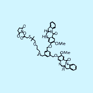 COc1cc2c(cc1OCc1cc(COc3cc4c(cc3OC)C(=O)N3c5ccccc5C[C@H]3CN4)cc(CN(C)CCCOCC(C)(C)SCC(=O)ON3C(=O)CCC3=O)c1)N=C[C@@H]1Cc3ccccc3N1C2=O